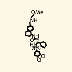 COCCNCc1ccc2c(c1)CCC[C@@H]2NC(=O)C[C@@H](NS(=O)(=O)c1ccc(Cl)c(Cl)c1)C1C=CC=CC1